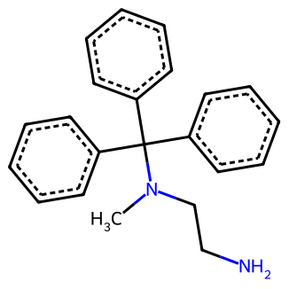 CN(CCN)C(c1ccccc1)(c1ccccc1)c1ccccc1